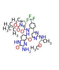 COCC(C)Nc1nc(Oc2cccc3[nH]c(=O)c(N)nc23)cc(-c2ccc(C(F)(F)F)cc2NC(=O)[C@@H]2CC[C@@H](C)N2C(=O)OC(C)(C)C)n1